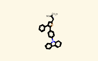 N#C/C(=C\c1cc(-c2ccccc2)c(-c2ccc(N3c4ccccc4C4=CC=CCC43)cc2)s1)C(=O)O